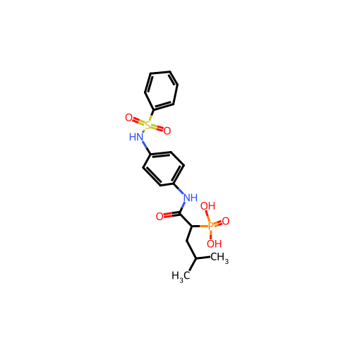 CC(C)CC(C(=O)Nc1ccc(NS(=O)(=O)c2ccccc2)cc1)P(=O)(O)O